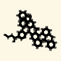 CCC[C@H](C)c1ccc(N2c3cc4c(cc3Bc3c2cc2ccccc2c3-c2cccc3c2Nc2ccccc2S3)oc2ccccc24)c(-c2ccccc2)c1